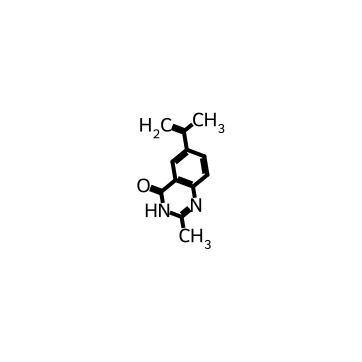 C=C(C)c1ccc2nc(C)[nH]c(=O)c2c1